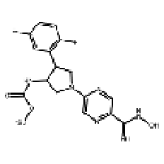 CC(C)(C)OC(=O)NC1CN(c2cnc(C(=N)NO)cn2)CC1c1cc(F)ccc1F